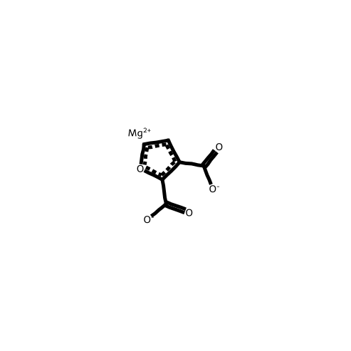 O=C([O-])c1ccoc1C(=O)[O-].[Mg+2]